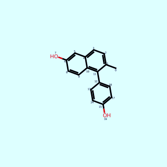 Cc1ccc2cc(O)ccc2c1-c1ccc(O)cc1